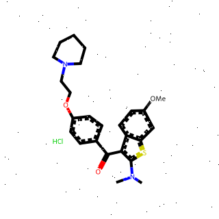 COc1ccc2c(C(=O)c3ccc(OCCN4CCCCC4)cc3)c(N(C)C)sc2c1.Cl